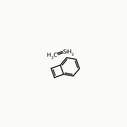 C1=Cc2ccccc21.C=[SiH2]